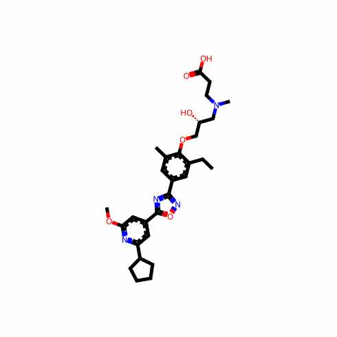 CCc1cc(-c2noc(-c3cc(OC)nc(C4CCCC4)c3)n2)cc(C)c1OC[C@H](O)CN(C)CCC(=O)O